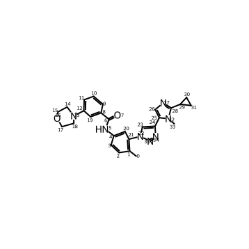 Cc1ccc(NC(=O)c2cccc(N3CCOCC3)c2)cc1-n1cc(-c2cnc(C3CC3)n2C)nn1